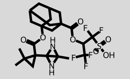 CC1(C)CC1(C(=O)OC12CC3CC(C1)CC(C(=O)OC(C(F)(F)F)C(F)(F)S(=O)(=O)O)(C3)C2)C12NC1(C)N2